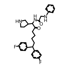 O=C(CNc1ccccc1)NC(C(=O)CCCCC(c1ccc(F)cc1)c1ccc(F)cc1)C1CCNC1